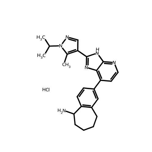 Cc1c(-c2nc3c(-c4ccc5c(c4)CCCCC5N)ccnc3[nH]2)cnn1C(C)C.Cl